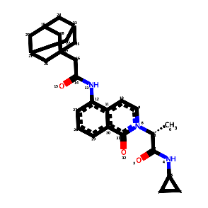 C[C@H](C(=O)NC1CC1)n1ccc2c(NC(=O)CC34CC5CC(CC(C5)C3)C4)cccc2c1=O